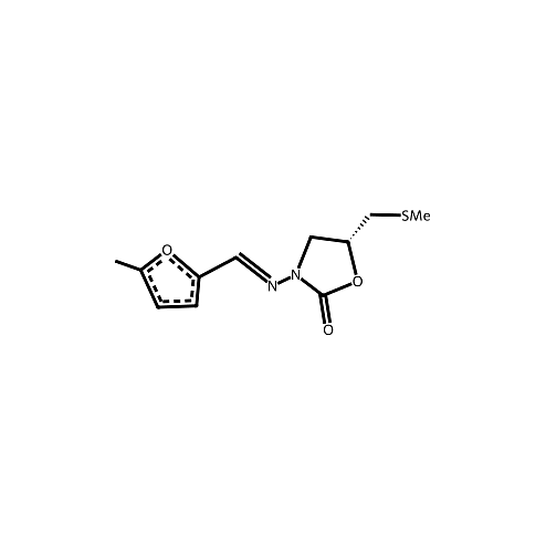 CSC[C@H]1CN(/N=C/c2ccc(C)o2)C(=O)O1